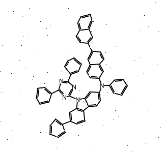 c1ccc(-c2ccc3c4ccc(N(c5ccccc5)c5ccc6cc(-c7ccc8ccccc8c7)ccc6c5)cc4n(-c4nc(-c5ccccc5)nc(-c5ccccc5)n4)c3c2)cc1